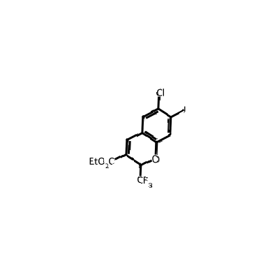 CCOC(=O)C1=Cc2cc(Cl)c(I)cc2OC1C(F)(F)F